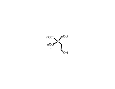 CCCCCCCC[P+](CCO)(CCCCCCCC)CCCCCCCC.[Cl-]